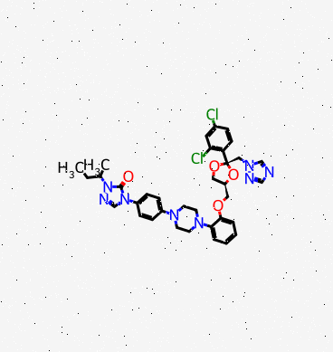 CCC(C)n1ncn(-c2ccc(N3CCN(c4ccccc4OC[C@H]4CO[C@](Cn5cncn5)(c5ccc(Cl)cc5Cl)O4)CC3)cc2)c1=O